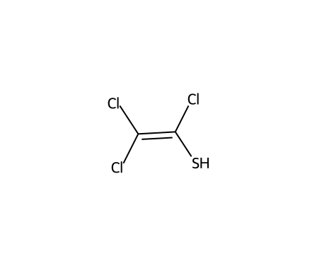 SC(Cl)=C(Cl)Cl